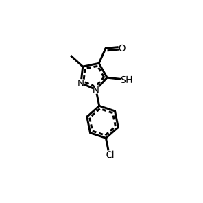 Cc1nn(-c2ccc(Cl)cc2)c(S)c1C=O